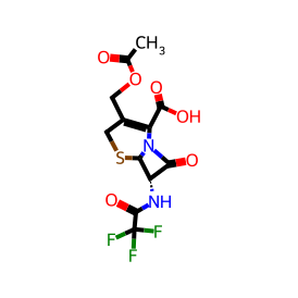 CC(=O)OCC1=C(C(=O)O)N2C(=O)[C@H](NC(=O)C(F)(F)F)C2SC1